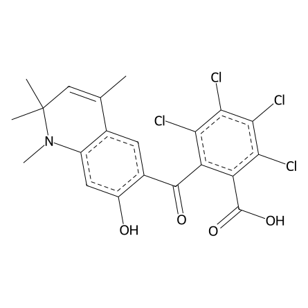 CC1=CC(C)(C)N(C)c2cc(O)c(C(=O)c3c(Cl)c(Cl)c(Cl)c(Cl)c3C(=O)O)cc21